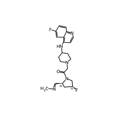 CN=C[C@@H]1C[C@H](F)CN1C(=O)CN1CCC(Nc2ccnc3ccc(F)cc23)CC1